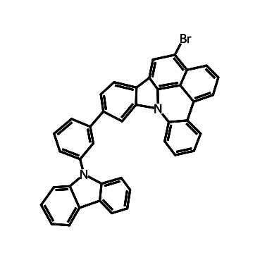 Brc1cc2c3ccc(-c4cccc(-n5c6ccccc6c6ccccc65)c4)cc3n3c4ccccc4c4cccc1c4c23